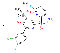 C[C@]1(C(N)=O)COc2c1cc([C@@](O)(CN)c1cccc(F)n1)nc2-c1cc(Cl)c(F)cc1F